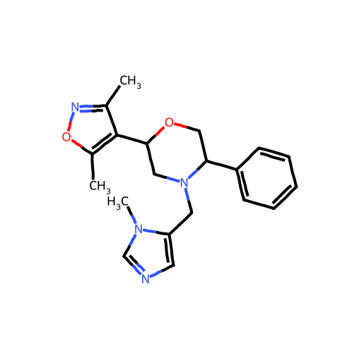 Cc1noc(C)c1C1CN(Cc2cncn2C)C(c2ccccc2)CO1